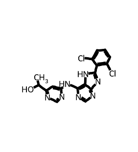 CC(O)c1cc(Nc2ncnc3nc(-c4c(Cl)cccc4Cl)[nH]c23)ncn1